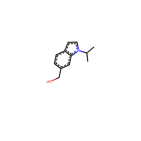 CC(C)n1ccc2ccc(CO)cc21